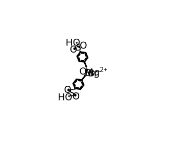 O=S(=O)(O)c1ccc(COCc2ccc(S(=O)(=O)O)cc2)cc1.[Br-].[Br-].[Mg+2]